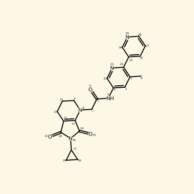 Cc1cc(NC(=O)CN2CCCC3=C2C(=O)N(C2CC2)C3=O)cnc1-c1cccnc1